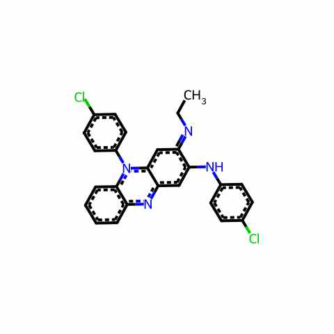 CCN=c1cc2n(-c3ccc(Cl)cc3)c3ccccc3nc-2cc1Nc1ccc(Cl)cc1